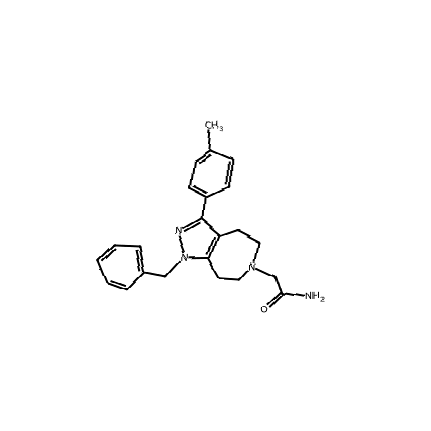 Cc1ccc(-c2nn(Cc3ccccc3)c3c2CCN(CC(N)=O)CC3)cc1